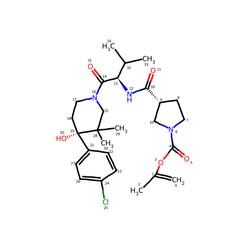 C=C(C)OC(=O)N1CC[C@@H](C(=O)N[C@@H](C(=O)N2CC[C@](O)(c3ccc(Cl)cc3)C(C)(C)C2)C(C)C)C1